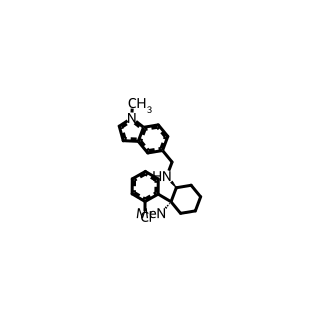 CN[C@@]1(c2ccccc2Cl)CCCC[C@@H]1NCc1ccc2c(ccn2C)c1